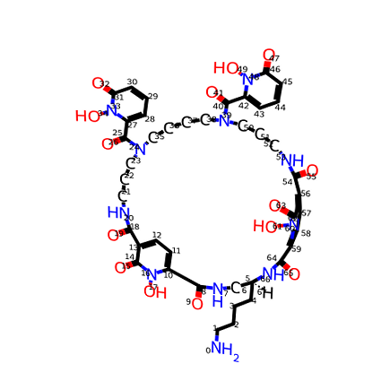 NCCCC[C@H]1CNC(=O)c2ccc(c(=O)n2O)C(=O)NCCCN(C(=O)c2cccc(=O)n2O)CCCCN(C(=O)c2cccc(=O)n2O)CCCNC(=O)c2ccc(n(O)c2=O)C(=O)N1